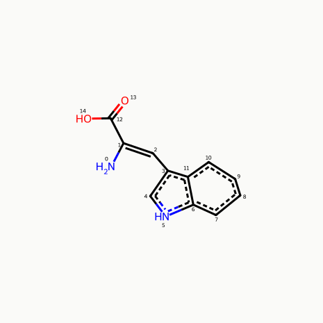 NC(=Cc1c[nH]c2ccccc12)C(=O)O